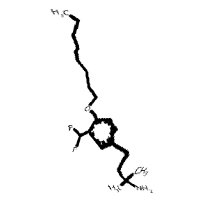 CCCCCCCCOc1ccc(CCC(C)(C)N)cc1C(F)F